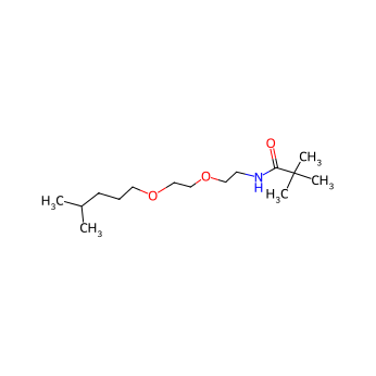 CC(C)CCCOCCOCCNC(=O)C(C)(C)C